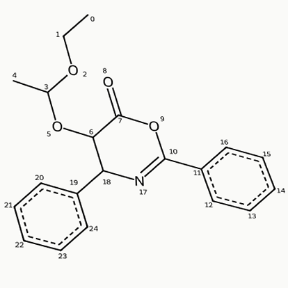 CCOC(C)OC1C(=O)OC(c2ccccc2)=NC1c1ccccc1